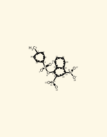 Cc1ccc(S(=O)(=O)Oc2c([N+](=O)[O-])cc([N+](=O)[O-])c3ccccc23)cc1